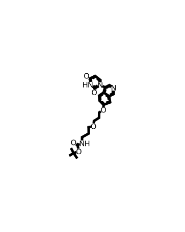 CC(C)(C)OC(=O)NCCCOCCCOc1ccc2c(-n3ccc(=O)[nH]c3=O)cncc2c1